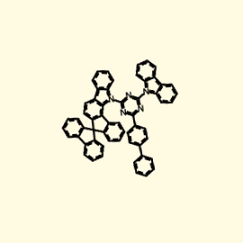 c1ccc(-c2ccc(-c3nc(-n4c5ccccc5c5ccccc54)nc(-n4c5ccccc5c5ccc6c(c54)-c4ccccc4C64c5ccccc5-c5ccccc54)n3)cc2)cc1